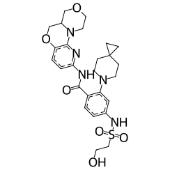 O=C(Nc1ccc2c(n1)N1CCOCC1CO2)c1ccc(NS(=O)(=O)CCO)cc1N1CCC2(CC1)CC2